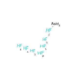 F.F.F.F.F.F.F.[AsH3]